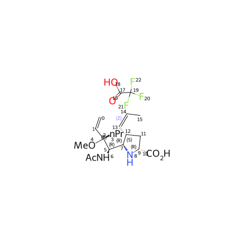 C=C[C@@](CCC)(OC)[C@H](NC(C)=O)[C@@H]1N[C@@H](C(=O)O)C[C@H]1/C=C\C.O=C(O)C(F)(F)F